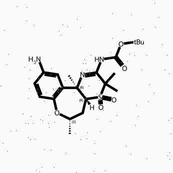 C[C@H]1C[C@@H]2[C@](C)(N=C(NC(=O)OC(C)(C)C)C(C)(C)S2(=O)=O)c2cc(N)ccc2O1